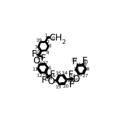 C=CC1CCC(C(F)(F)Oc2ccc(C(F)(F)Oc3ccc(C(F)(F)Oc4ccc(F)c(F)c4)cc3)cc2)CC1